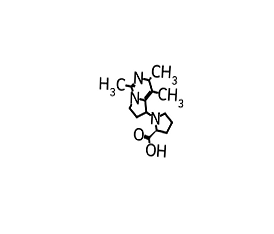 CC1=N[C@@H](C)C(C)=C2C(N3CCC[C@H]3C(=O)O)CCN12